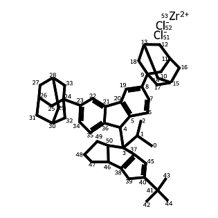 CC(C)C1(C2c3ccc(C45CC6CC(CC(C6)C4)C5)cc3-c3cc(C45CC6CC(CC(C6)C4)C5)ccc32)C2=C(CC(C(C)(C)C)=C2)C2CCCC21.[Cl-].[Cl-].[Zr+2]